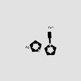 C#C[c-]1cccc1.[Ag].[Fe+2].c1cc[cH-]c1